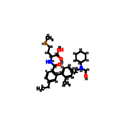 CCc1ccc(C(=O)NC(CCSC)C(=O)O)c(-c2ccccc2C)c1.CN(C=O)C1CCCCC1